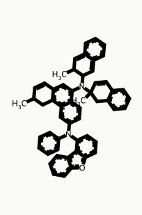 CC1C=Cc2cc(N(C3C=c4ccccc4=CC3C)C3(C)C=Cc4ccccc4C3)c3ccc(N(c4ccccc4)c4cccc5oc6ccccc6c45)cc3c2C1